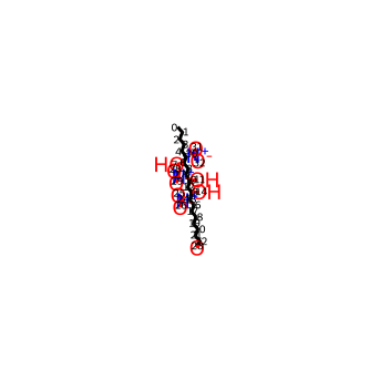 CCCCCC(C(O)CC(C(O)CC(O)C(CCCCCCC=O)[N+](=O)[O-])[N+](=O)[O-])[N+](=O)[O-]